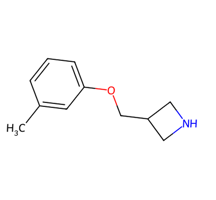 Cc1cccc(OCC2CNC2)c1